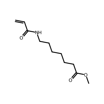 C=CC(=O)NCCCCCCC(=O)OC